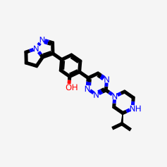 CC(C)[C@H]1CN(c2ncc(-c3ccc(-c4cnn5c4CCC5)cc3O)nn2)CCN1